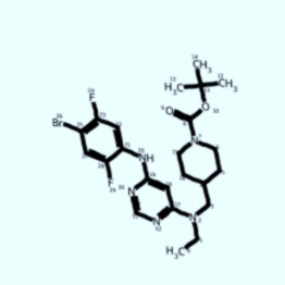 CCN(CC1CCN(C(=O)OC(C)(C)C)CC1)c1cc(Nc2cc(F)c(Br)cc2F)ncn1